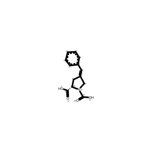 O=C(O)[C@@H]1C/C(=C\c2ccccc2)CN1C(=O)O